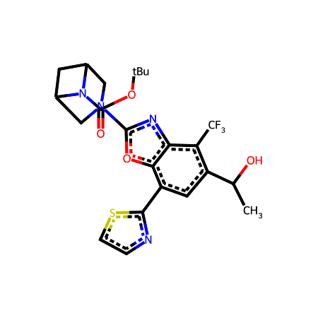 CC(O)c1cc(-c2nccs2)c2oc(N3CC4CC(C3)N4C(=O)OC(C)(C)C)nc2c1C(F)(F)F